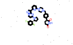 O=C1CCC(c2ccc(CN3CCN(c4cccc(-c5cnn6ccc(N7CCC[C@@H]7c7cc(F)ccc7F)nc56)n4)CC3)cc2)C(=O)N1